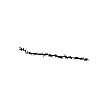 [2H]/C=N/C#CC#CC#CC#CC#CC#CC#CC#CC#CC#CC#CC#C